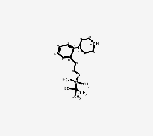 CC(C)(C)[Si](C)(C)OCCc1ccccc1N1CCNCC1